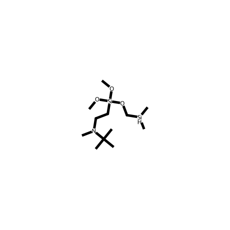 CO[Si](CCN(C)C(C)(C)C)(OC)OC[SiH](C)C